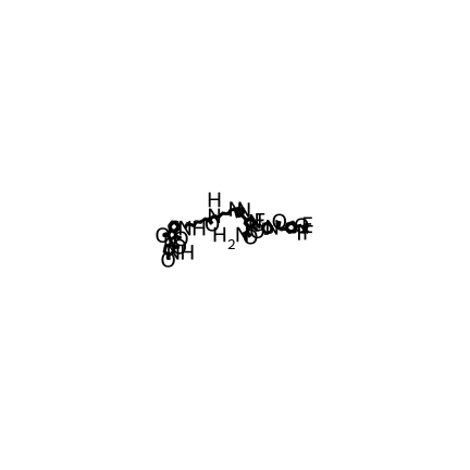 NC(=O)c1cc(-c2cn(CCCCNC(=O)CCCCCNc3cccc4c3C(=O)N(C3CCC(=O)NC3=O)C4=O)cn2)cnc1O[C@@H]1CCN(C(=O)Cc2ccc(OC(F)(F)F)cc2)C[C@H]1F